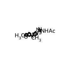 CC(=O)Nc1nnc(N2CCN([C@H](C)c3ccc4c(c3)O[C@@H](C)C4)CC2)s1